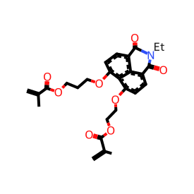 C=C(C)C(=O)OCCCOc1ccc2c3c(ccc(OCCOC(=O)C(=C)C)c13)C(=O)N(CC)C2=O